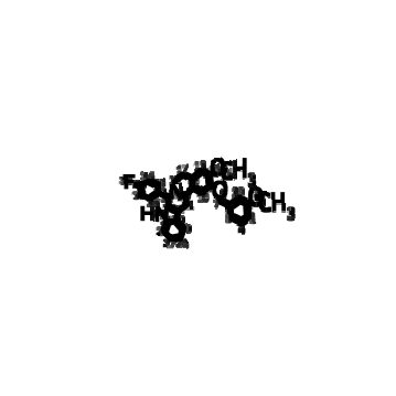 COc1cccc(COc2cc3c(cc2OC)CCN2C3Cc3c([nH]c4ccccc34)C2c2ccc(F)cc2)c1